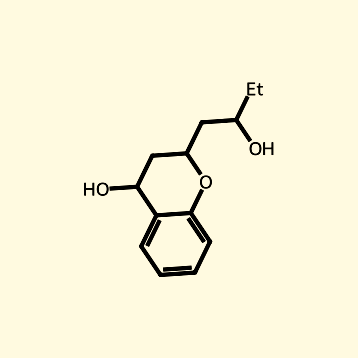 CCC(O)CC1CC(O)c2ccccc2O1